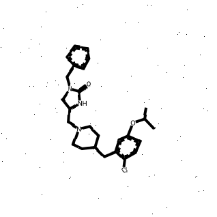 CC(C)Oc1ccc(Cl)c(CC2CCN(CC3CN(Cc4ccccc4)C(=O)N3)CC2)c1